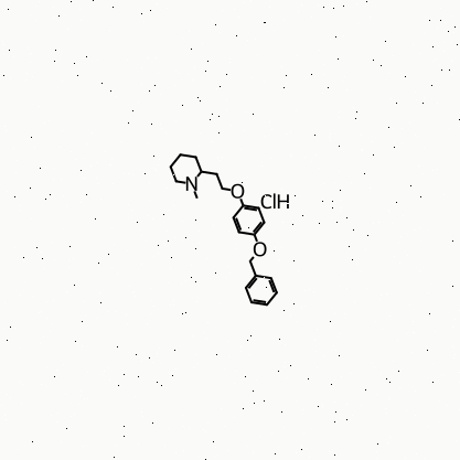 CN1CCCCC1CCOc1ccc(OCc2ccccc2)cc1.Cl